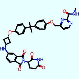 CNC(=O)c1nccc(COc2ccc(C(C)(C)c3ccc(O[C@H]4C[C@H](Nc5ccc6c(c5)C(=O)N(C5CCC(=O)NC5=O)C6=O)C4)cc3)cc2)n1